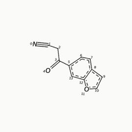 N#CCC(=O)c1ccc2ccoc2c1